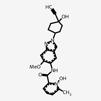 C#CC1(O)CCC(n2cc3cc(NC(=O)c4cccc(C)[n+]4O)c(OC)cc3n2)CC1